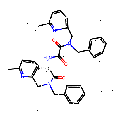 CCOC(=O)C(=O)N(Cc1ccccc1)Cc1cccc(C)n1.Cc1cccc(CN(Cc2ccccc2)C(=O)C(N)=O)n1